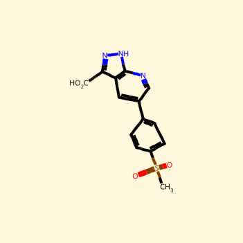 CS(=O)(=O)c1ccc(-c2cnc3[nH]nc(C(=O)O)c3c2)cc1